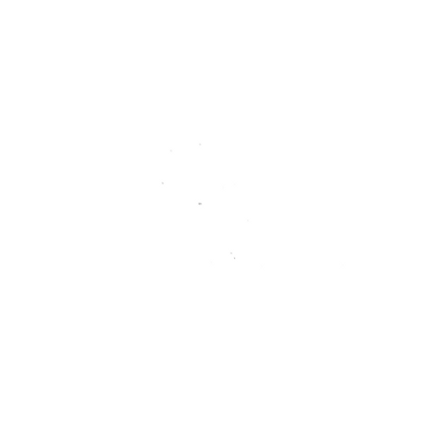 CCCCC(C)(C)OC(=O)OC(C)C